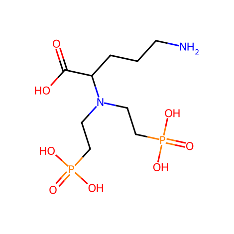 NCCCC(C(=O)O)N(CCP(=O)(O)O)CCP(=O)(O)O